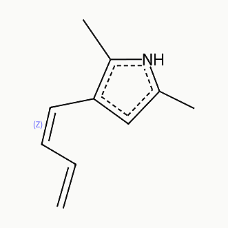 C=C/C=C\c1cc(C)[nH]c1C